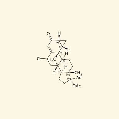 CC(=O)O[C@]1(C(C)=O)CC[C@H]2[C@@H]3CC(Cl)C4=CC(=O)[C@@H]5C[C@@H]5[C@]4(C)[C@H]3CC[C@@]21C